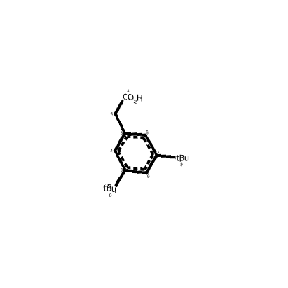 CC(C)(C)c1cc(CC(=O)O)cc(C(C)(C)C)c1